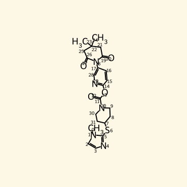 Cn1ccnc1SC1CCN(C(=O)Oc2ccc(N3C(=O)CC(C)(C)CC3=O)cn2)CC1